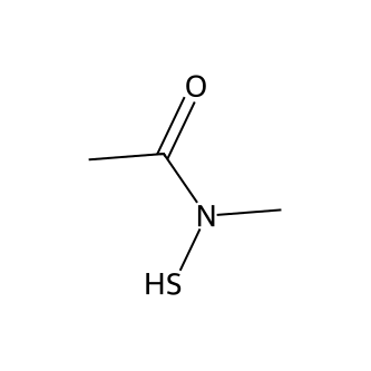 CC(=O)N(C)S